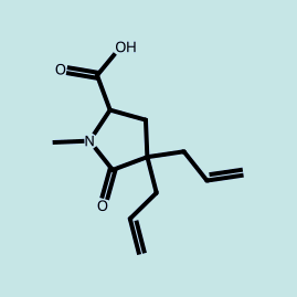 C=CCC1(CC=C)CC(C(=O)O)N(C)C1=O